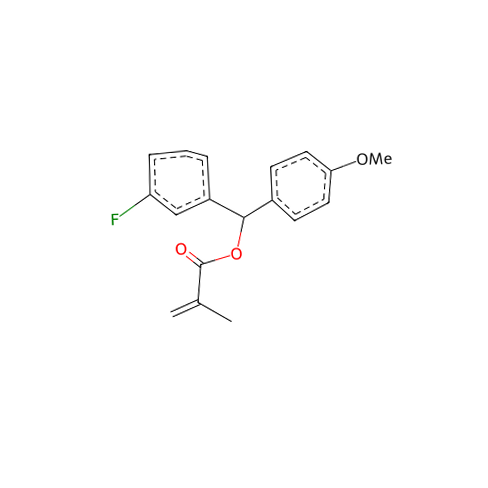 C=C(C)C(=O)OC(c1ccc(OC)cc1)c1cccc(F)c1